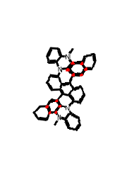 CN1C2=C(CCC=C2)N(c2cccc3c(-c4ccc5ccccc5c4)c4c(N5c6ccccc6N(C)c6ccccc65)cccc4c(-c4ccc5c(c4)CCC=C5)c23)c2ccccc21